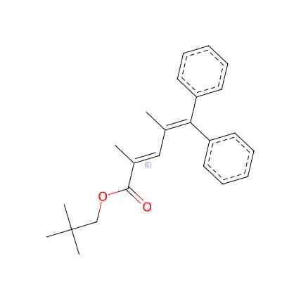 CC(/C=C(\C)C(=O)OCC(C)(C)C)=C(c1ccccc1)c1ccccc1